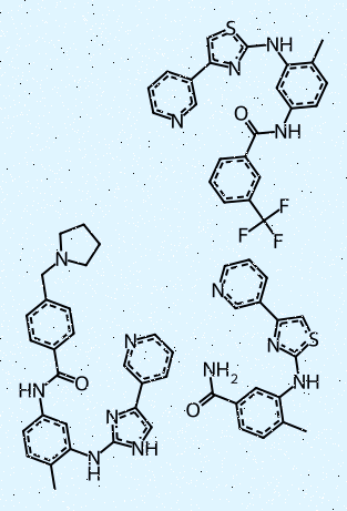 Cc1ccc(C(N)=O)cc1Nc1nc(-c2cccnc2)cs1.Cc1ccc(NC(=O)c2ccc(CN3CCCC3)cc2)cc1Nc1nc(-c2cccnc2)c[nH]1.Cc1ccc(NC(=O)c2cccc(C(F)(F)F)c2)cc1Nc1nc(-c2cccnc2)cs1